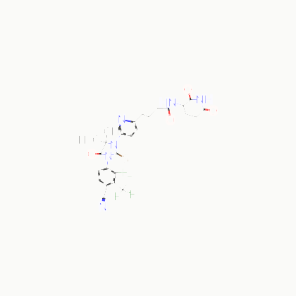 CC1(C)C(=O)N(c2ccc(C#N)c(C(F)(F)F)c2F)C(=S)N1c1ccc(CCCC(=O)NC2CCC(=O)NC2=O)nc1